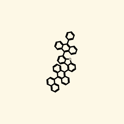 c1ccc(-c2c3ccccc3c(-c3cccc4c3oc3cccc(-c5c6ccccc6c(-c6cccc7ccccc67)c6ccccc56)c34)c3ccccc23)cc1